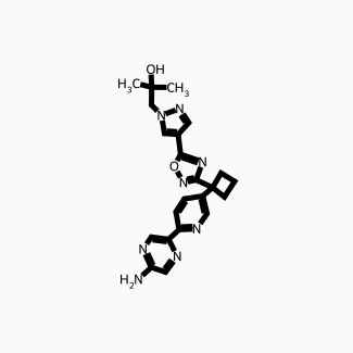 CC(C)(O)Cn1cc(-c2nc(C3(c4ccc(-c5cnc(N)cn5)nc4)CCC3)no2)cn1